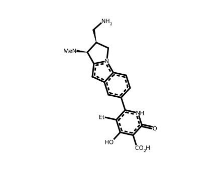 CCc1c(-c2ccc3c(c2)cc2n3C[C@H](CN)[C@@H]2NC)[nH]c(=O)c(C(=O)O)c1O